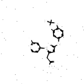 COC(=O)Cc1cc(Nc2ccc3c(c2)OC(F)(F)O3)nn1-c1ccnc(C)c1